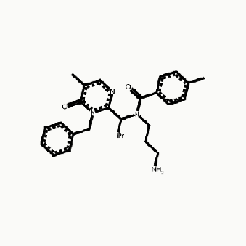 Cc1ccc(C(=O)N(CCCN)C(c2ncc(C)c(=O)n2Cc2ccccc2)C(C)C)cc1